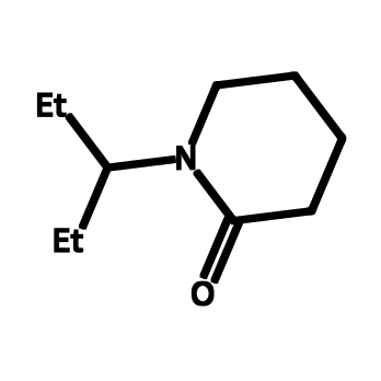 CCC(CC)N1CCCCC1=O